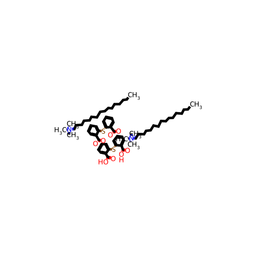 CCCCCCCCCCCCCCCC[N+](C)(C)C.CCCCCCCCCCCCCCCC[N+](C)(C)C.O=C(O)c1ccccc1Sc1ccccc1C(=O)O.O=C([O-])c1ccccc1Sc1ccccc1C(=O)[O-]